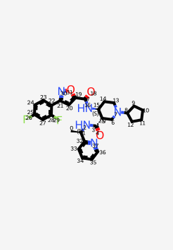 C[C@@H](NC(=O)[C@H]1CN(C2CCCC2)CC[C@@H]1NC(=O)c1cc(-c2ccc(F)cc2F)no1)c1ccccn1